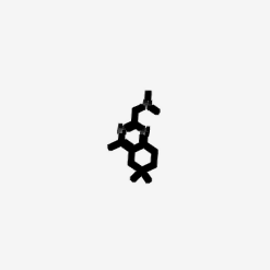 Cc1nc(CN(C)C)nc2c1CC(C)(C)CC2